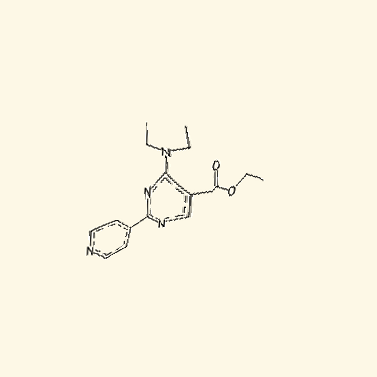 CCOC(=O)c1cnc(-c2ccncc2)nc1N(CC)CC